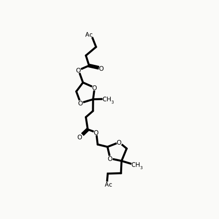 CC(=O)CCC(=O)OC1COC(C)(CCC(=O)OCC2OCC(C)(CCC(C)=O)O2)O1